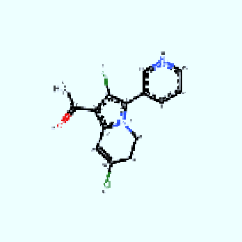 CC(=O)c1c(Cl)c(-c2cccnc2)n2c1C=C(Cl)CC2